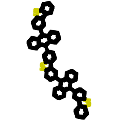 c1ccc2c(c1)sc1ccc(-c3c4ccccc4c(-c4ccc5c(c4)sc4ccc(-c6c7ccccc7c(-c7ccc8sc9ccccc9c8c7)c7ccccc67)cc45)c4ccccc34)cc12